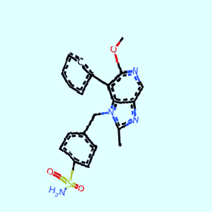 COc1ncc2nc(C)n(Cc3ccc(S(N)(=O)=O)cc3)c2c1-c1ccccc1